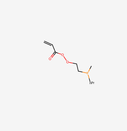 C=CC(=O)OOCCP(C)CCC